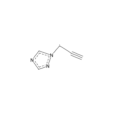 C#C[CH]n1cncn1